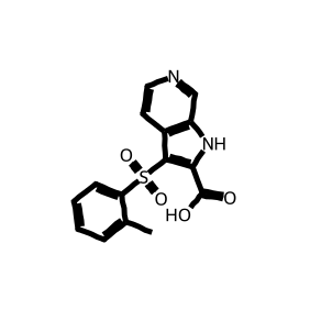 Cc1ccccc1S(=O)(=O)c1c(C(=O)O)[nH]c2cnccc12